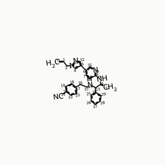 C=CCn1cc(-c2ccc(NC(=C)C(NCCc3ccc(C#N)cc3)c3ccccc3)nc2)cn1